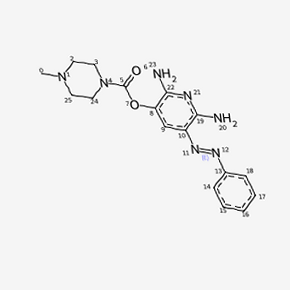 CN1CCN(C(=O)Oc2cc(/N=N/c3ccccc3)c(N)nc2N)CC1